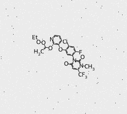 C=C(OOCC)Oc1ncccc1Oc1cc(-n2c(=O)cc(C(F)(F)F)n(C)c2=O)c(F)cc1Cl